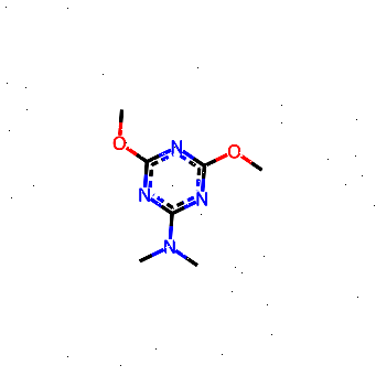 COc1nc(OC)nc(N(C)C)n1